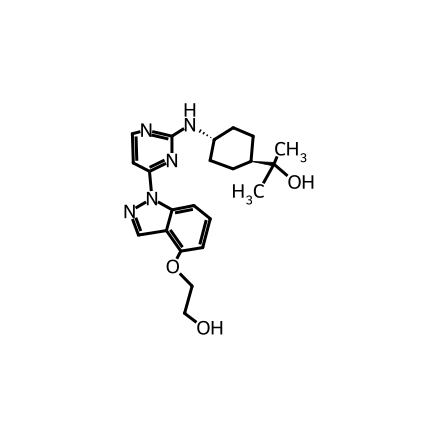 CC(C)(O)[C@H]1CC[C@H](Nc2nccc(-n3ncc4c(OCCO)cccc43)n2)CC1